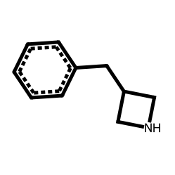 c1ccc(CC2CNC2)cc1